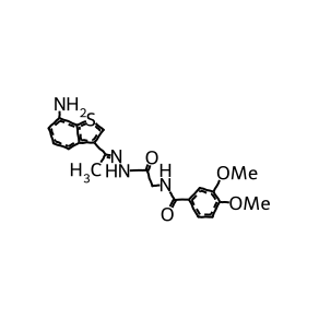 COc1ccc(C(=O)NCC(=O)N/N=C(\C)c2csc3c(N)cccc23)cc1OC